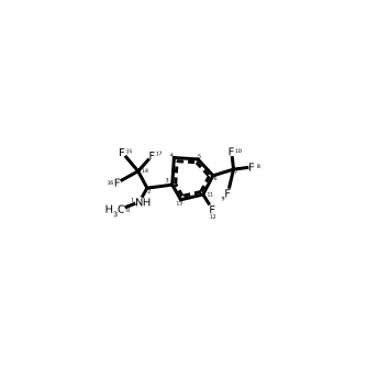 CNC(c1ccc(C(F)(F)F)c(F)c1)C(F)(F)F